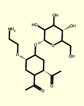 CC(=O)C1C[C@H](OCCN)C(O[C@H]2OC(CO)[C@@H](O)C(O)C2O)C[C@@H]1C(C)=O